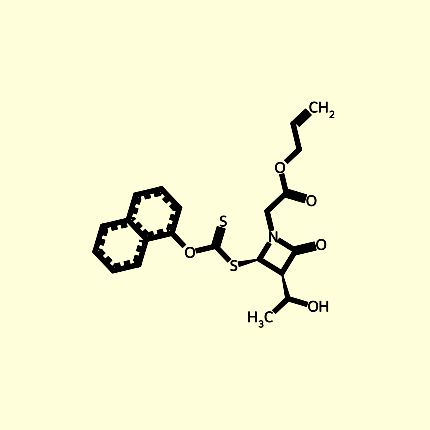 C=CCOC(=O)CN1C(=O)[C@@H](C(C)O)[C@H]1SC(=S)Oc1cccc2ccccc12